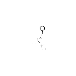 CCCC(F)(F)CC(NC(=O)OCc1ccccc1)C(=O)O